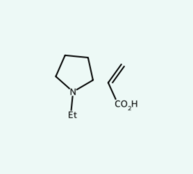 C=CC(=O)O.CCN1CCCC1